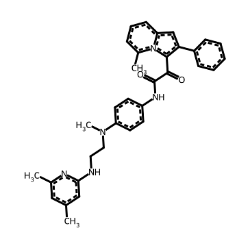 Cc1cc(C)nc(NCCN(C)c2ccc(NC(=O)C(=O)c3c(-c4ccccc4)cc4cccc(C)n34)cc2)c1